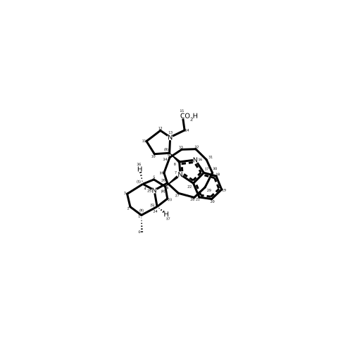 C[C@@H]1CC[C@H]2C[C@@H](n3c([C@H]4CCCN4CC(=O)O)nc4ccccc43)C[C@@H]1N2C1CCCCCCCCC1